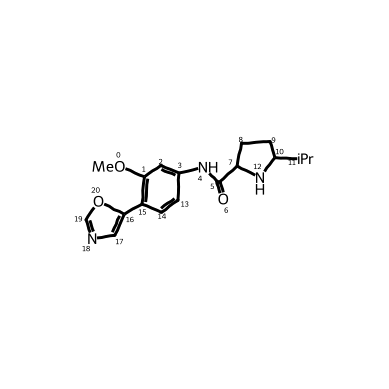 COc1cc(NC(=O)C2CCC(C(C)C)N2)ccc1-c1cnco1